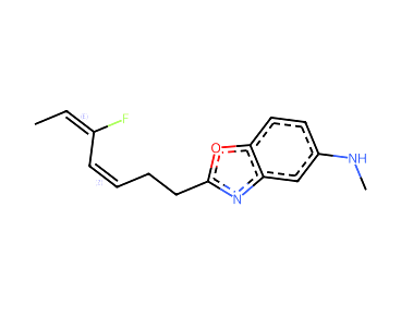 C/C=C(F)\C=C/CCc1nc2cc(NC)ccc2o1